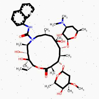 CC[C@H]1OC(=O)[C@H](C)[C@@H](O[C@H]2C[C@@](C)(OC)[C@@H](O)[C@H](C)O2)[C@H](C)[C@@H](O[C@@H]2O[C@H](C)C[C@H](N(C)C)[C@H]2O)[C@](C)(O)C[C@@H](C)CN(C(=O)Nc2cccc3ccccc23)[C@H](C)[C@@H](O)[C@]1(C)O